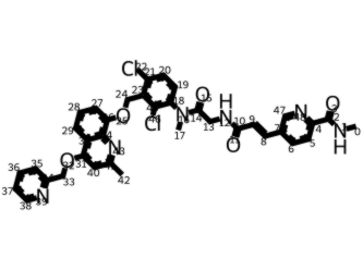 CNC(=O)c1ccc(C=CC(=O)NCC(=O)N(C)c2ccc(Cl)c(COc3cccc4c(OCc5ccccn5)cc(C)nc34)c2Cl)cn1